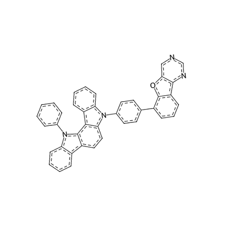 c1ccc(-n2c3ccccc3c3ccc4c(c5ccccc5n4-c4ccc(-c5cccc6c5oc5cncnc56)cc4)c32)cc1